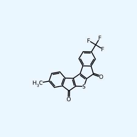 Cc1ccc2c(c1)c(=O)c1sc3c(=O)c4cc(C(F)(F)F)ccc4c3c12